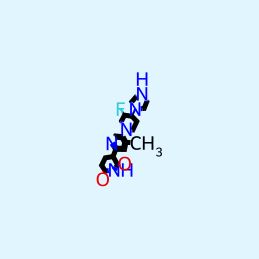 Cc1cc(C2CCC(=O)NC2=O)ncc1N1CC[C@H](N2CCNCC2)[C@H](F)C1